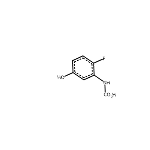 O=C(O)Nc1cc(O)ccc1F